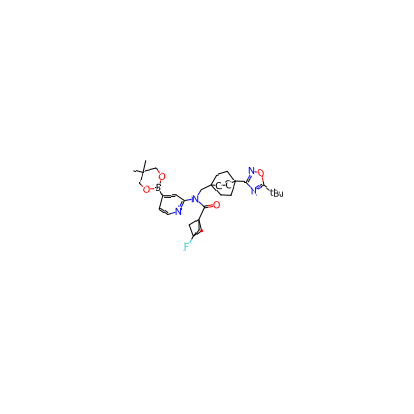 CC1(C)COB(c2ccnc(N(CC34CCC(c5noc(C(C)(C)C)n5)(CC3)CC4)C(=O)C34CC(F)(C3)C4)c2)OC1